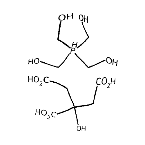 O=C(O)CC(O)(CC(=O)O)C(=O)O.OC[PH](CO)(CO)CO